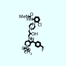 CNC(=O)Nc1cccc(Cl)c1N1CCN(CC(O)Cn2nc(-c3ccc(CF)cc3)c3c2CCN(S(C)(=O)=O)C3)CC1